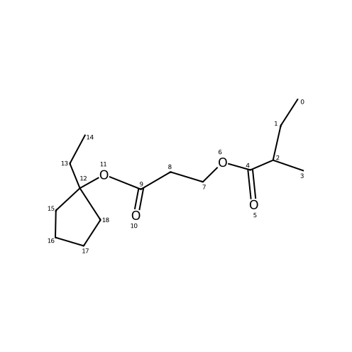 CCC(C)C(=O)OCCC(=O)OC1(CC)CCCC1